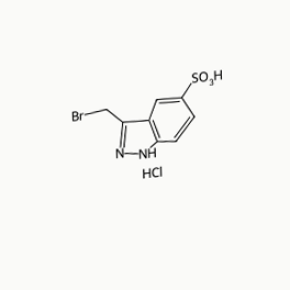 Cl.O=S(=O)(O)c1ccc2[nH]nc(CBr)c2c1